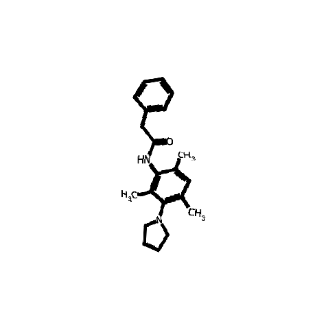 Cc1cc(C)c(N2CCCC2)c(C)c1NC(=O)Cc1ccccc1